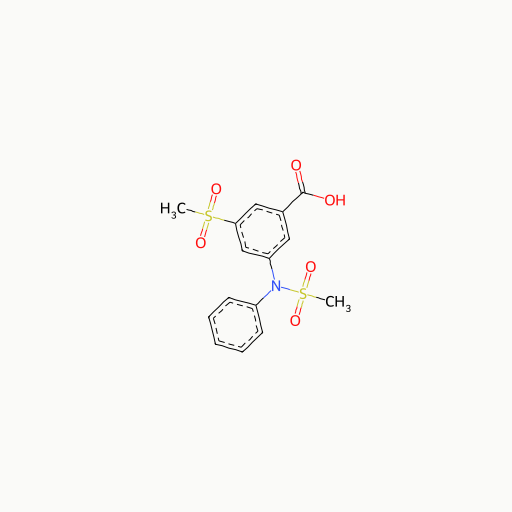 CS(=O)(=O)c1cc(C(=O)O)cc(N(c2ccccc2)S(C)(=O)=O)c1